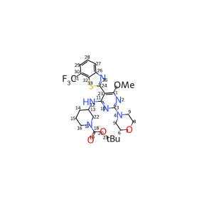 COc1nc(N2CCOCC2)nc(NC2CCCN(C(=O)OC(C)(C)C)C2)c1-c1nc2cccc(C(F)(F)F)c2s1